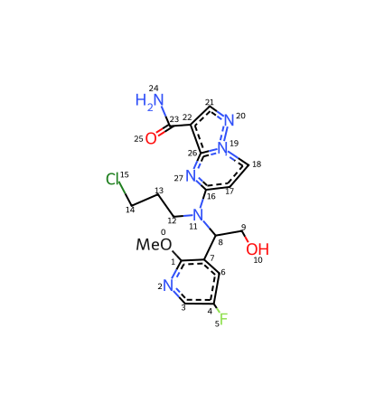 COc1ncc(F)cc1C(CO)N(CCCCl)c1ccn2ncc(C(N)=O)c2n1